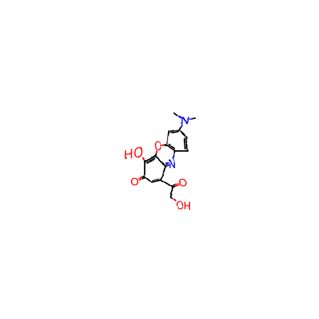 CN(C)c1ccc2nc3c(C(=O)CO)cc(=O)c(O)c-3oc2c1